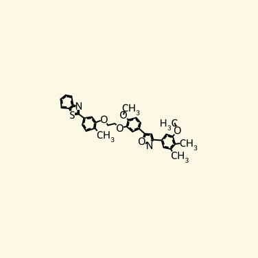 COc1ccc(-c2cc(-c3cc(C)c(C)c(OC)c3)no2)cc1OCCOc1cc(-c2nc3ccccc3s2)ccc1C